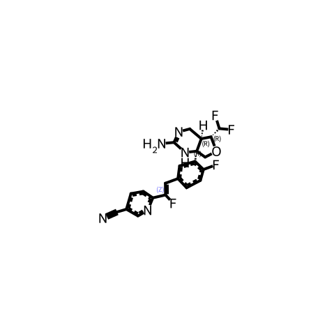 N#Cc1ccc(/C(F)=C/c2ccc(F)c([C@@]34CO[C@@H](C(F)F)[C@@H]3CN=C(N)N4)c2)nc1